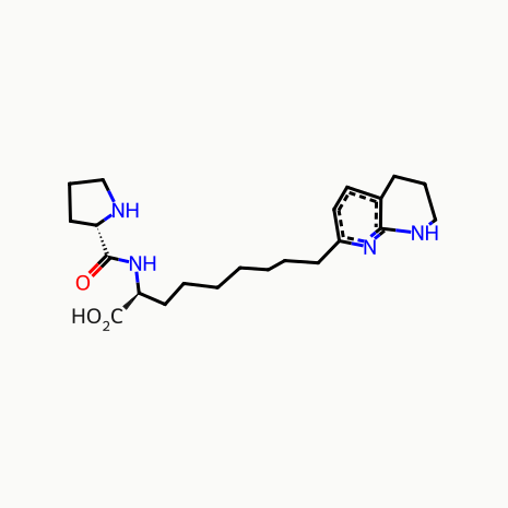 O=C(O)[C@H](CCCCCCCc1ccc2c(n1)NCCC2)NC(=O)[C@@H]1CCCN1